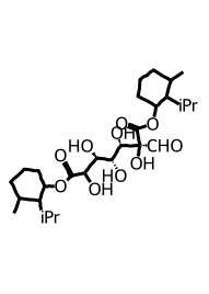 CC(C)C1C(C)CCCC1OC(=O)C(O)[C@@H](O)[C@@H](O)[C@H](O)[C@@](O)(C=O)C(=O)OC1CCCC(C)C1C(C)C